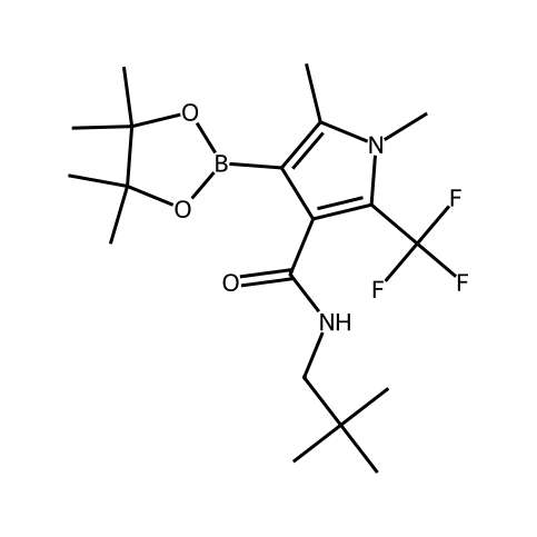 Cc1c(B2OC(C)(C)C(C)(C)O2)c(C(=O)NCC(C)(C)C)c(C(F)(F)F)n1C